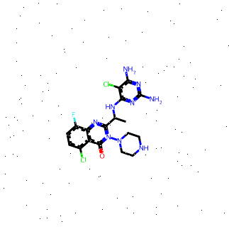 CC(Nc1nc(N)nc(N)c1Cl)c1nc2c(F)ccc(Cl)c2c(=O)n1N1CCNCC1